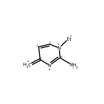 C=C1C=CN(CC)C(N)=N1